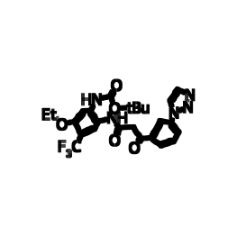 CCOc1cc(NC(=O)OC(C)(C)C)c(NC(=O)CC(=O)c2cccc(-n3ccnn3)c2)cc1C(F)(F)F